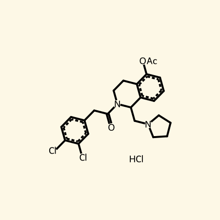 CC(=O)Oc1cccc2c1CCN(C(=O)Cc1ccc(Cl)c(Cl)c1)C2CN1CCCC1.Cl